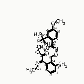 CO/N=C(/C(=O)OC)c1cccc(C)c1CO/N=C(\C)c1ccc(OC)cc1C(F)(P)P